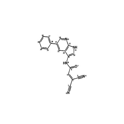 N#CC(C#N)=CC(=O)Nc1c[nH]c2ncc(-c3ccccc3)cc12